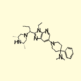 CCC(c1nc2cc(N3CCC(c4ccccc4)(N(C)C)CC3)cnc2n1CC)N1C[C@@H](C)N[C@@H](C)C1